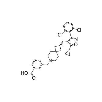 O=C(O)c1cccc(CN2CCC3(CC2)CC(=Cc2c(-c4c(Cl)cccc4Cl)noc2C2CC2)C3)c1